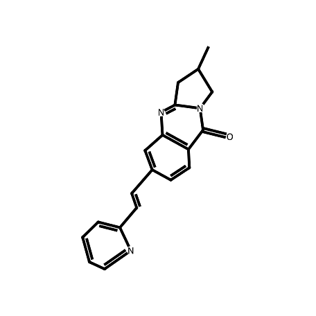 CC1Cc2nc3cc(/C=C/c4ccccn4)ccc3c(=O)n2C1